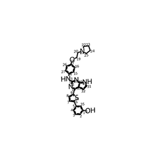 Oc1cccc(-c2ccc(-c3nc(Nc4ccc(OCCN5CCCC5)cc4)nc4[nH]ccc34)s2)c1